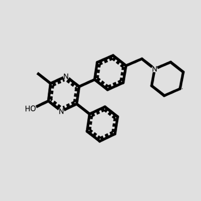 Cc1nc(-c2ccc(CN3CC[CH]CC3)cc2)c(-c2ccccc2)nc1O